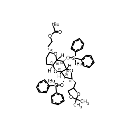 CC1(C)OCC(C[C@H]2O[C@H]3[C@@H](O[Si](c4ccccc4)(c4ccccc4)C(C)(C)C)[C@H]4O[C@@H](CCOC(=O)C(C)(C)C)CC[C@@H]4O[C@H]3[C@H]2O[Si](c2ccccc2)(c2ccccc2)C(C)(C)C)O1